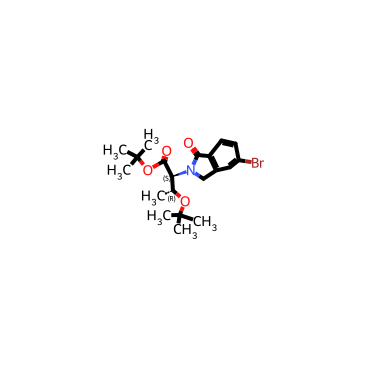 C[C@@H](OC(C)(C)C)[C@@H](C(=O)OC(C)(C)C)N1Cc2cc(Br)ccc2C1=O